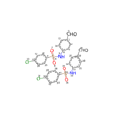 O=Cc1ccc(NS(=O)(=O)c2ccc(Cl)cc2)cc1.O=Cc1ccc(NS(=O)(=O)c2ccc(Cl)cc2)cc1